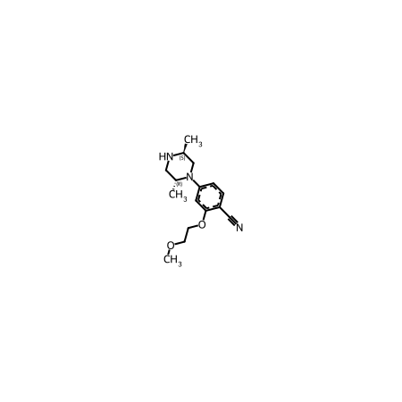 COCCOc1cc(N2C[C@H](C)NC[C@H]2C)ccc1C#N